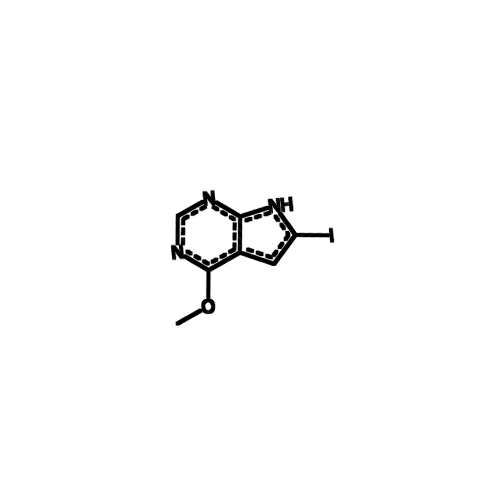 COc1ncnc2[nH]c(I)cc12